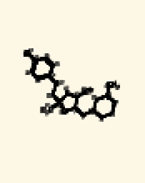 CC1CCCN(CC2OC(C)(COc3ccc(Cl)cc3)SC2C(C)C)C1